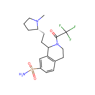 CN1CCC[C@H]1CCC1c2cc(S(N)(=O)=O)ccc2CCN1C(=O)C(F)(F)F